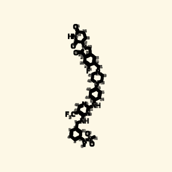 CN(c1cccc(CNc2nc(Nc3ccc(N4CCN(Cc5cc6c(cc5F)C(=O)N(C5CCC(=O)NC5=O)C6)CC4)cc3)ncc2C(F)(F)F)c1)S(C)(=O)=O